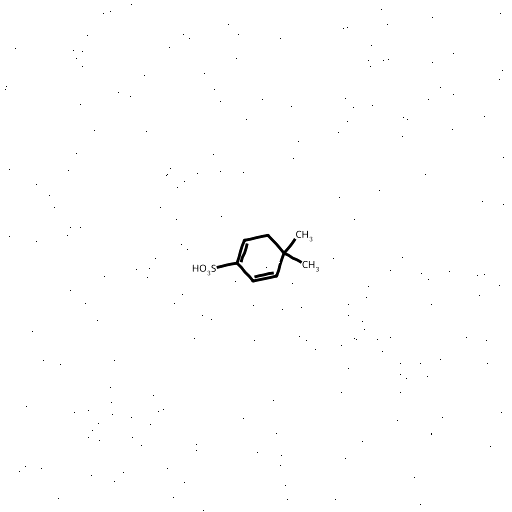 CC1(C)C=CC(S(=O)(=O)O)=CC1